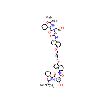 CN[C@@H](C)C(=O)NC(C(=O)N1C[C@@H](O)C[C@H]1C(=O)N[C@@H]1CCCc2c(OC/C=C/COc3cccc4c3CCC[C@H]4NC(=O)[C@@H]3C[C@H](O)CN3C(=O)[C@@H](NC(=O)[C@H](C)NC)C3CCCCC3)cccc21)C1CCCCC1